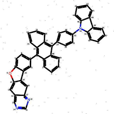 c1ccc2c(-c3ccc4oc5cc6cncnc6cc5c4c3)c3ccccc3c(-c3ccc(-n4c5ccccc5c5ccccc54)cc3)c2c1